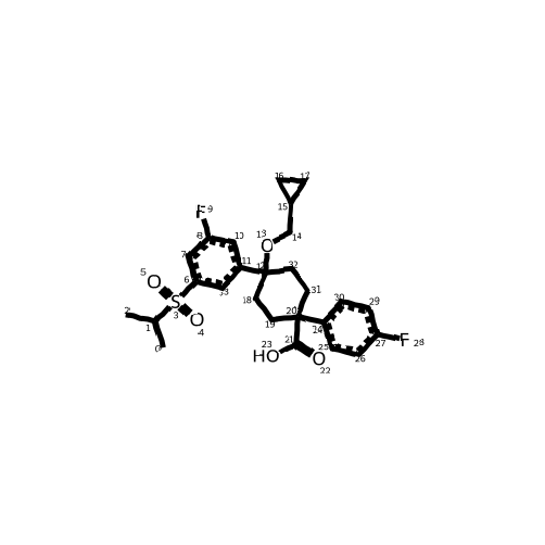 CC(C)S(=O)(=O)c1cc(F)cc(C2(OCC3CC3)CCC(C(=O)O)(c3ccc(F)cc3)CC2)c1